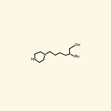 CCCC[C@H](CO)CCCCN1CCNCC1